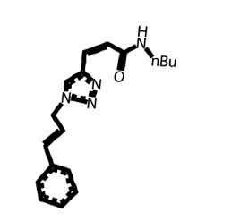 CCCCNC(=O)/C=C\c1cn(CC=Cc2ccccc2)nn1